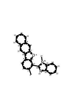 Cc1ccc2c(oc3cc4ccccc4cc32)c1-c1nc2ccccc2n1C